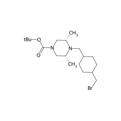 C[C@@H]1CN(C(=O)OC(C)(C)C)C[C@H](C)N1CC1CCC(CBr)CC1